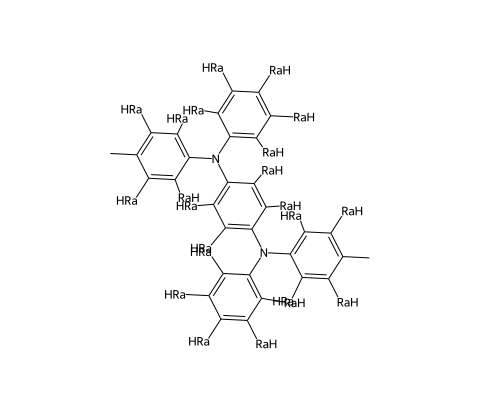 Cc1[c]([RaH])[c]([RaH])c(N(c2[c]([RaH])[c]([RaH])[c]([RaH])[c]([RaH])[c]2[RaH])c2[c]([RaH])[c]([RaH])c(N(c3[c]([RaH])[c]([RaH])c(C)[c]([RaH])[c]3[RaH])c3[c]([RaH])[c]([RaH])[c]([RaH])[c]([RaH])[c]3[RaH])[c]([RaH])[c]2[RaH])[c]([RaH])[c]1[RaH]